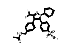 CC(=O)NCc1ccc(-c2c(C(F)F)nn(-c3ccccc3)c2-c2ccc(S(N)(=O)=O)cc2)cc1